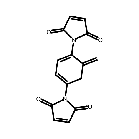 C=C1CC(N2C(=O)C=CC2=O)=CC=C1N1C(=O)C=CC1=O